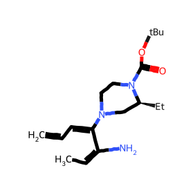 C=C/C=C(\C(N)=C/C)N1CCN(C(=O)OC(C)(C)C)[C@@H](CC)C1